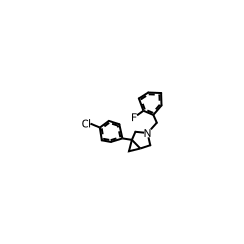 Fc1ccccc1CN1CC2CC2(c2ccc(Cl)cc2)C1